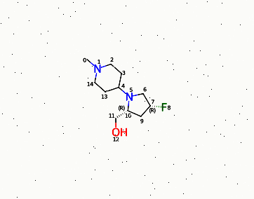 CN1CCC(N2C[C@H](F)C[C@@H]2CO)CC1